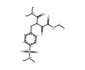 CCOC(=O)C(=O)C(Cc1ccc(S(=O)(=O)N(C)C)cc1)C(=O)C(C)C